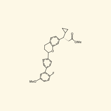 COC(=O)C[C@H](c1ccc2c(c1)OC(c1ccc(-c3cc(OC)ccc3F)cc1)CC2)C1CC1